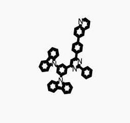 c1ccc(-c2nc(-c3ccc(-c4ccc5ncccc5c4)cc3)cc(-c3cc(-n4c5ccccc5c5ccccc54)cc(-n4c5ccccc5c5ccccc54)c3)n2)cc1